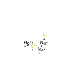 [Hg+2].[Na+].[Na+].[S-2].[S-2]